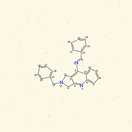 C(=Nc1c2c(nc3ccccc13)CN(Cc1ccccc1)C2)c1ccccc1